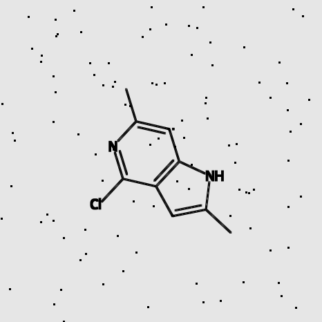 Cc1[c]c2[nH]c(C)cc2c(Cl)n1